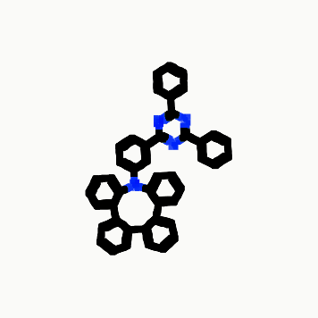 c1ccc(-c2nc(-c3ccccc3)nc(-c3cccc(-n4c5ccccc5c5ccccc5c5ccccc5c5ccccc54)c3)n2)cc1